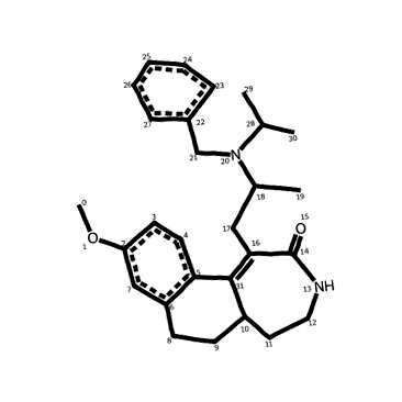 COc1ccc2c(c1)CCC1CCNC(=O)C(CC(C)N(Cc3ccccc3)C(C)C)=C21